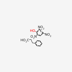 O=C(O)CCc1ccccc1.O=[N+]([O-])c1cc([N+](=O)[O-])c(O)c([N+](=O)[O-])c1